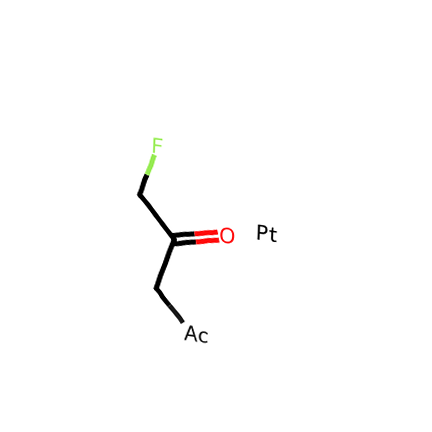 CC(=O)CC(=O)CF.[Pt]